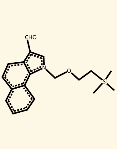 C[Si](C)(C)CCOCn1cc(C=O)c2ccc3ccccc3c21